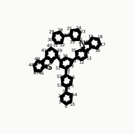 c1ccc(-c2ccc(-c3cc(-c4ccc5c6ccccc6n(-c6cccc(-c7ccccc7)c6)c5c4)cc(-c4cccc5c4sc4ccccc45)c3)cc2)cc1